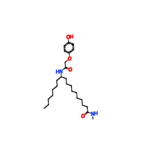 CCCCCCCC(CCCCCCCCCC(=O)NC)NC(=O)COc1ccc(O)cc1